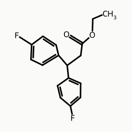 CCOC(=O)CC(c1ccc(F)cc1)c1ccc(F)cc1